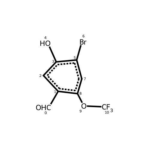 O=Cc1cc(O)c(Br)cc1OC(F)(F)F